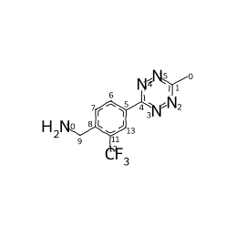 Cc1nnc(-c2ccc(CN)c(C(F)(F)F)c2)nn1